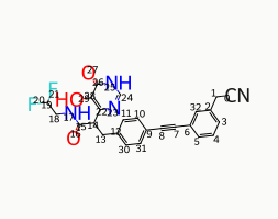 N#CCc1cccc(C#Cc2ccc(CC(C(=O)NCC(F)F)c3nc[nH]c(=O)c3O)cc2)c1